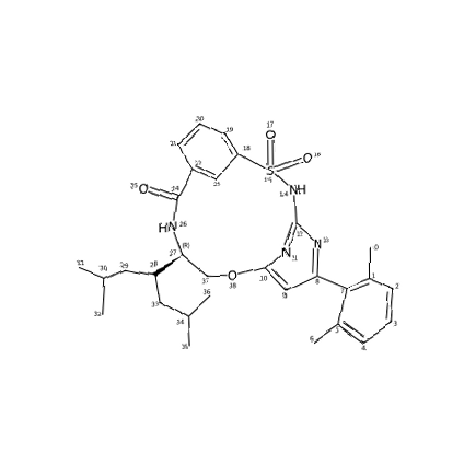 Cc1cccc(C)c1-c1cc2nc(n1)NS(=O)(=O)c1cccc(c1)C(=O)N[C@H](C(CC(C)C)CC(C)C)CO2